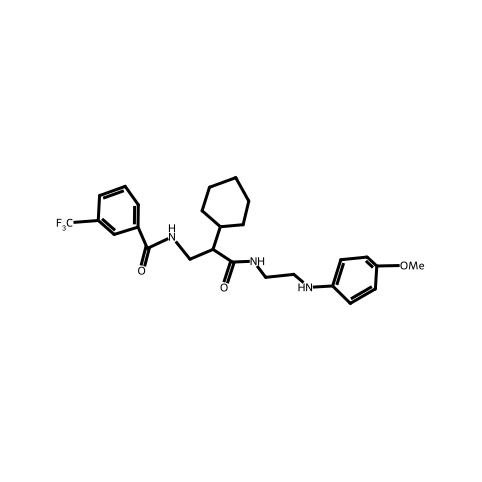 COc1ccc(NCCNC(=O)C(CNC(=O)c2cccc(C(F)(F)F)c2)C2CCCCC2)cc1